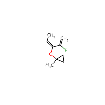 C=C(F)/C(=C\C)OC1(C)CC1